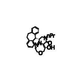 CCCN1C[C@@H](C2c3ccccc3CCc3ccccc32)N2/N=C\COC/C(O)=C\2C1=O